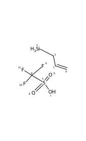 C=CC[SiH3].O=S(=O)(O)C(F)(F)F